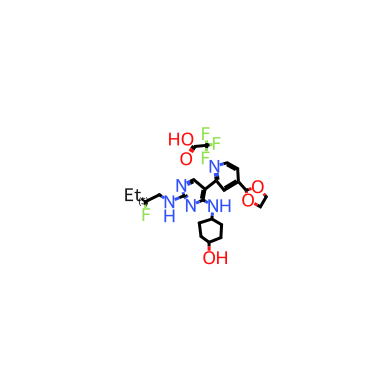 CC[C@H](F)CNc1ncc(-c2cc(C3OCCO3)ccn2)c(NC2CCC(O)CC2)n1.O=C(O)C(F)(F)F